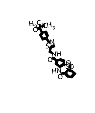 CN(C)C(=O)c1ccc(-c2ncc(CNC(=O)c3ccc4c(c3)NC(=O)c3ccccc3S4(=O)=O)s2)cc1